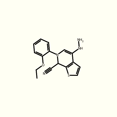 CCOc1ccccc1N1C=C(NN)c2ccsc2C1C#N